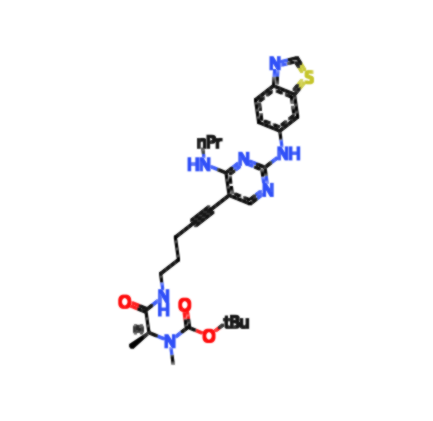 CCCNc1nc(Nc2ccc3ncsc3c2)ncc1C#CCCCNC(=O)[C@H](C)N(C)C(=O)OC(C)(C)C